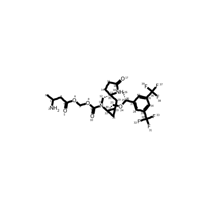 CC(N)CC(=O)OCOC(=O)N1C[C@@]2(CCC(=O)N2)CC2C[C@]21CO[C@H](C)c1cc(C(F)(F)F)cc(C(F)(F)F)c1